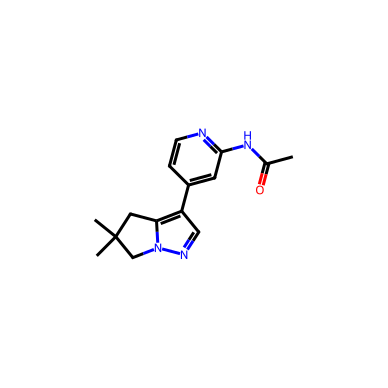 CC(=O)Nc1cc(-c2cnn3c2CC(C)(C)C3)ccn1